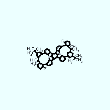 CC(C)(C)c1cc2cc(c1)C(C)(C)c1cccc(F)c1-c1ccc3c4c5c6cccc7c6n6c8cc(ccc8c(c8c9cccc-2c9n(c3c1)c48)c56)-c1c(F)cccc1C(C)(C)c1cc-7cc(C(C)(C)C)c1